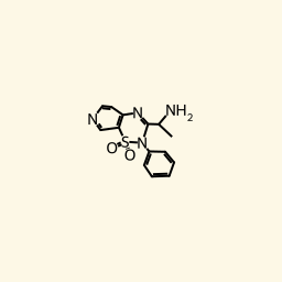 CC(N)C1=Nc2ccncc2S(=O)(=O)N1c1ccccc1